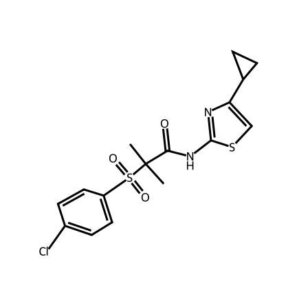 CC(C)(C(=O)Nc1nc(C2CC2)cs1)S(=O)(=O)c1ccc(Cl)cc1